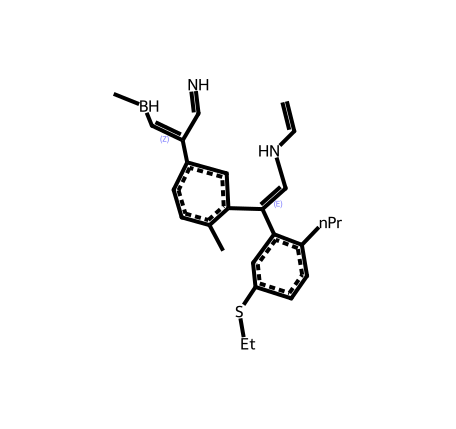 C=CN/C=C(\c1cc(/C(C=N)=C/BC)ccc1C)c1cc(SCC)ccc1CCC